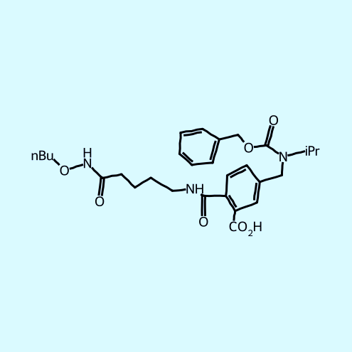 CCCCONC(=O)CCCCNC(=O)c1ccc(CN(C(=O)OCc2ccccc2)C(C)C)cc1C(=O)O